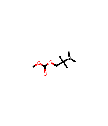 COC(=O)OCC(C)(C)[Si](C)C